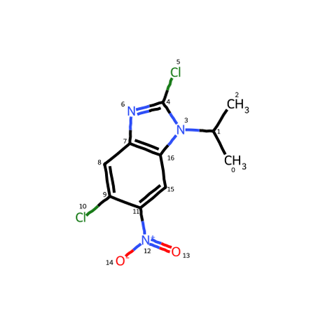 CC(C)n1c(Cl)nc2cc(Cl)c([N+](=O)[O-])cc21